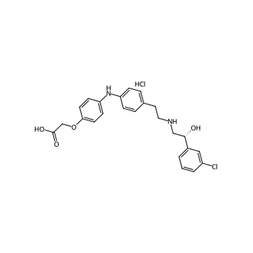 Cl.O=C(O)COc1ccc(Nc2ccc(CCNC[C@H](O)c3cccc(Cl)c3)cc2)cc1